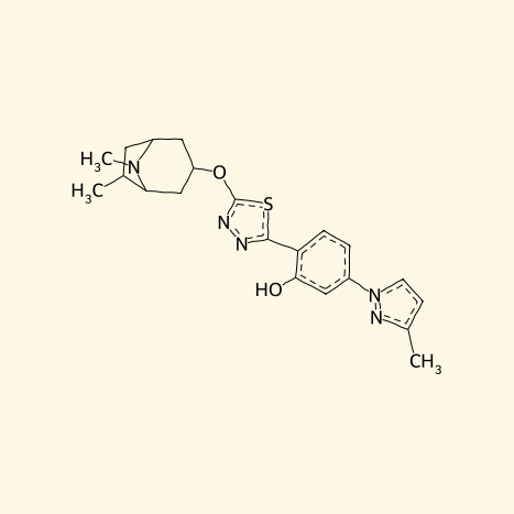 Cc1ccn(-c2ccc(-c3nnc(OC4CC5CC(C)C(C4)N5C)s3)c(O)c2)n1